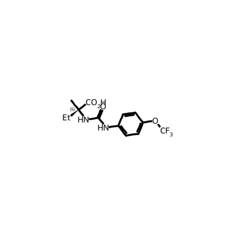 CC[C@](C)(NC(=O)Nc1ccc(OC(F)(F)F)cc1)C(=O)O